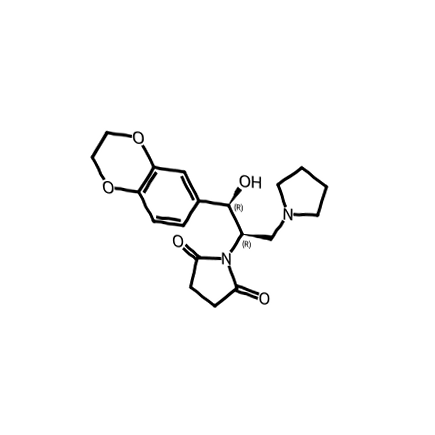 O=C1CCC(=O)N1[C@H](CN1CCCC1)[C@H](O)c1ccc2c(c1)OCCO2